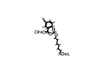 CCCCCCCCCCCCCCCCOC1=Nc2ccc(C)cc2C(C=O)O1